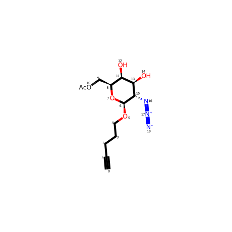 C#CCCCO[C@H]1O[C@@H](COC(C)=O)[C@@H](O)[C@@H](O)[C@@H]1N=[N+]=[N-]